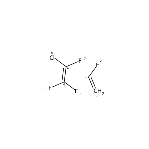 C=CF.FC(F)=C(F)Cl